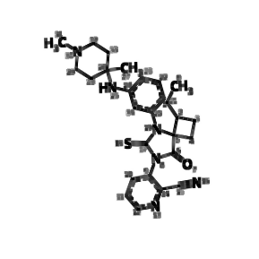 CCC1CCC12C(=O)N(c1cccnc1C#N)C(=S)N2c1cccc(NC2(C)CCN(C)CC2)c1